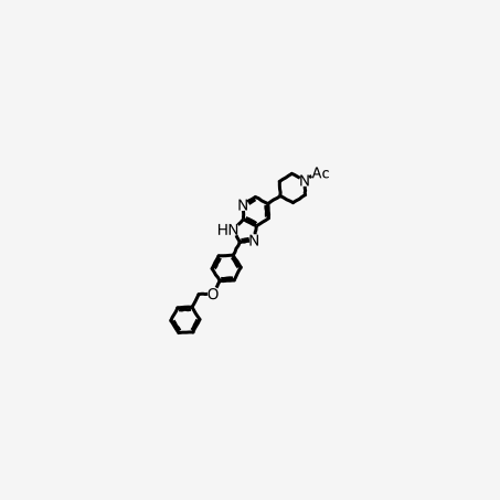 CC(=O)N1CCC(c2cnc3[nH]c(-c4ccc(OCc5ccccc5)cc4)nc3c2)CC1